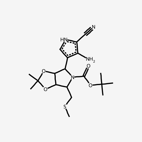 CSCC1C2OC(C)(C)OC2C(c2c[nH]c(C#N)c2N)N1C(=O)OC(C)(C)C